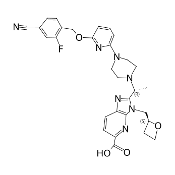 C[C@H](c1nc2ccc(C(=O)O)nc2n1C[C@@H]1CCO1)N1CCN(c2cccc(OCc3ccc(C#N)cc3F)n2)CC1